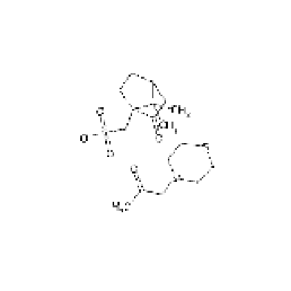 CC(=O)C[S+]1CCSCC1.CC1(C)C2CCC1(CS(=O)(=O)[O-])C(=O)C2